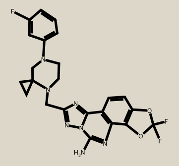 Nc1nc2c3c(ccc2c2nc(CN4CCN(c5cccc(F)c5)CC45CC5)nn12)OC(F)(F)O3